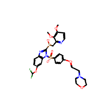 COc1ccnc(C[S+]([O-])c2nc3ccc(OC(F)F)cc3n2S(=O)(=O)c2ccc(OCCN3CCOCC3)cc2)c1OC